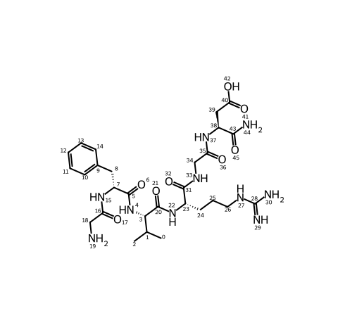 CC(C)[C@H](NC(=O)[C@@H](Cc1ccccc1)NC(=O)CN)C(=O)N[C@@H](CCCNC(=N)N)C(=O)NCC(=O)N[C@@H](CC(=O)O)C(N)=O